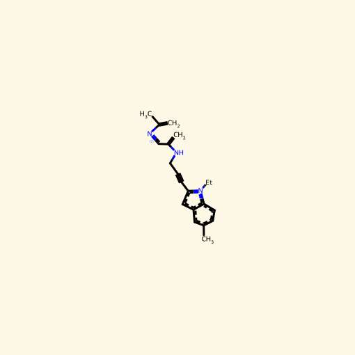 C=C(C)/N=C\C(=C)NCC#Cc1cc2cc(C)ccc2n1CC